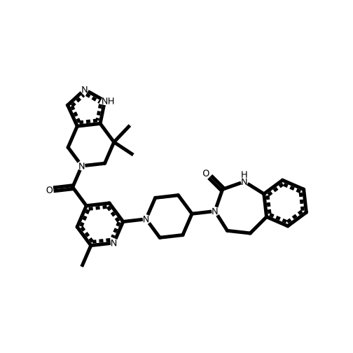 Cc1cc(C(=O)N2Cc3cn[nH]c3C(C)(C)C2)cc(N2CCC(N3CCc4ccccc4NC3=O)CC2)n1